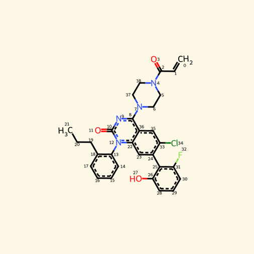 C=CC(=O)N1CCN(c2nc(=O)n(-c3ccccc3CCC)c3cc(-c4c(O)cccc4F)c(Cl)cc23)CC1